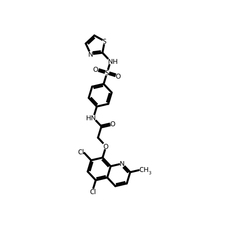 Cc1ccc2c(Cl)cc(Cl)c(OCC(=O)Nc3ccc(S(=O)(=O)Nc4nccs4)cc3)c2n1